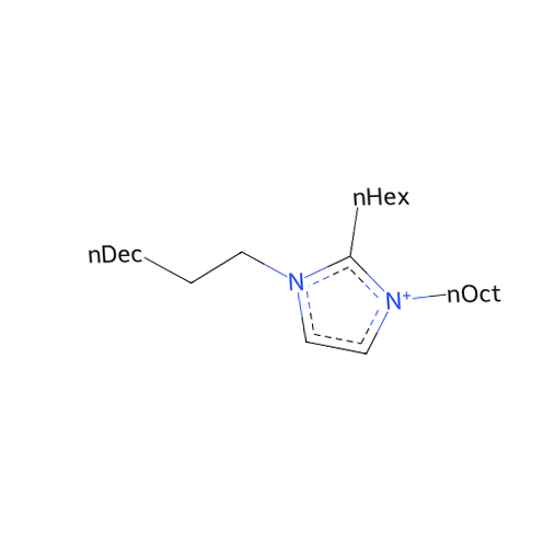 CCCCCCCCCCCCn1cc[n+](CCCCCCCC)c1CCCCCC